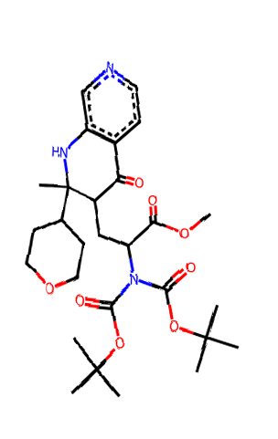 COC(=O)C(CC1C(=O)c2ccncc2NC1(C)C1CCOCC1)N(C(=O)OC(C)(C)C)C(=O)OC(C)(C)C